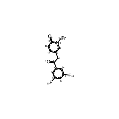 CC(C)n1cc(CC(=O)c2cc(F)cc(F)c2)ccc1=O